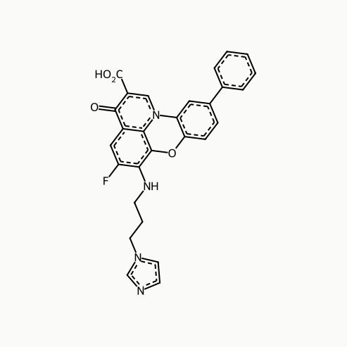 O=C(O)c1cn2c3c(c(NCCCn4ccnc4)c(F)cc3c1=O)Oc1ccc(-c3ccccc3)cc1-2